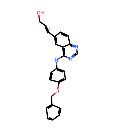 OC/C=C/c1ccc2ncnc(Nc3ccc(OCc4ccccc4)cc3)c2c1